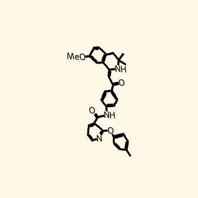 COc1ccc2c(c1)/C(=C/C(=O)c1ccc(NC(=O)c3cccnc3Oc3ccc(C)cc3)cc1)NC(C)(C)C2